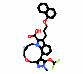 Cn1nc2c(c1OC(F)F)-c1cccc3c(CCCOc4cccc5ccccc45)c(C(=O)O)n(c13)C/C=C\COC2